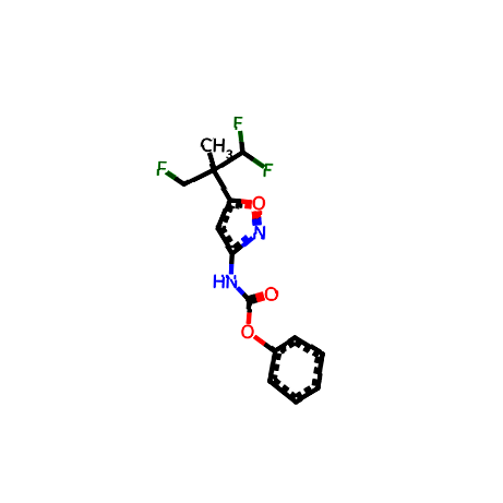 CC(CF)(c1cc(NC(=O)Oc2ccccc2)no1)C(F)F